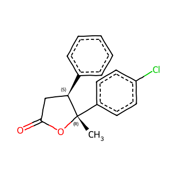 C[C@@]1(c2ccc(Cl)cc2)OC(=O)C[C@H]1c1ccccc1